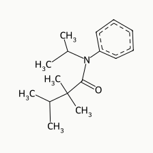 CC(C)N(C(=O)C(C)(C)C(C)C)c1ccccc1